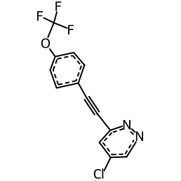 FC(F)(F)Oc1ccc(C#Cc2cc(Cl)cnn2)cc1